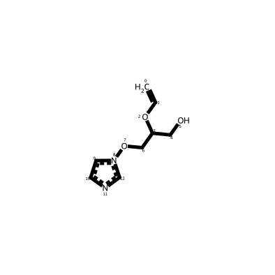 C=COC(CO)COn1ccnc1